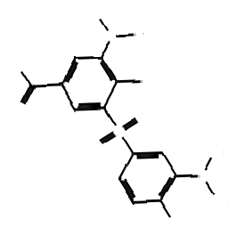 O=C(O)c1cc(B(O)O)c(F)c(S(=O)(=O)c2ccc(F)c(B(O)O)c2)c1